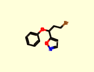 BrCCC(Oc1ccccc1)c1ccno1